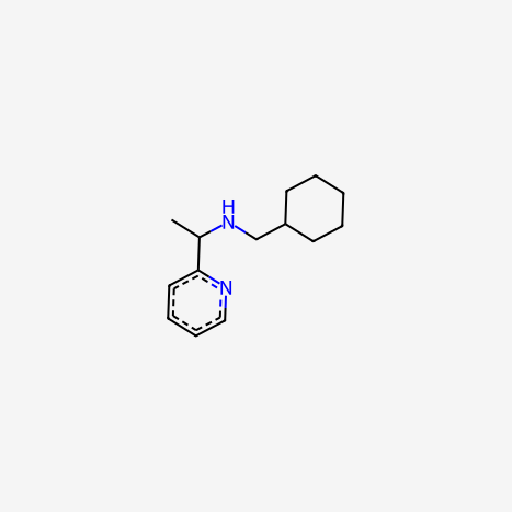 CC(NCC1CCCCC1)c1ccccn1